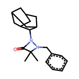 CC1(C)C(=O)N(C2C3CC4CC(C3)CC2C4)N1Cc1ccccc1